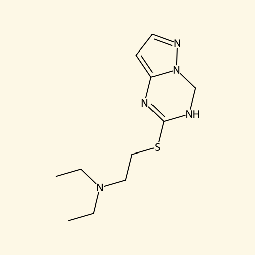 CCN(CC)CCSC1=Nc2ccnn2CN1